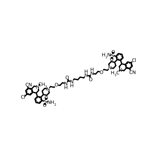 CN1Cc2c(C#N)cc(Cl)cc2C(c2cccc(S(N)(=O)=O)c2C2CCN(CCOCCNC(=O)NCCCCNC(=O)NCCOCCN3CCC(c4c(C5CN(C)Cc6c(C#N)cc(Cl)cc65)cccc4S(N)(=O)=O)CC3)CC2)C1